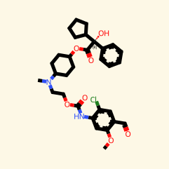 COc1cc(NC(=O)OCCN(C)C2CCC(OC(=O)[C@](O)(c3ccccc3)C3CCCC3)CC2)c(Cl)cc1C=O